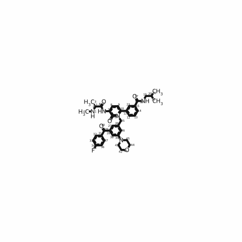 CN[C@@H](C)C(=O)Nc1ccc(-c2cccc(C(=O)NCC(C)C)c2)n(Cc2cc(C(=O)c3ccc(F)cc3)cc(N3CCOCC3)c2)c1=O